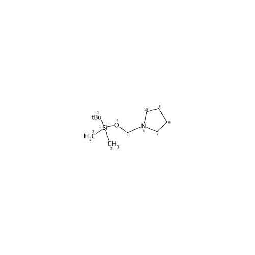 CC(C)(C)[Si](C)(C)OCN1CCCC1